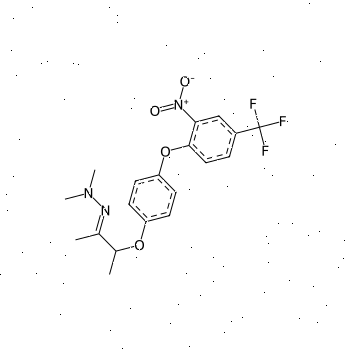 CC(=NN(C)C)C(C)Oc1ccc(Oc2ccc(C(F)(F)F)cc2[N+](=O)[O-])cc1